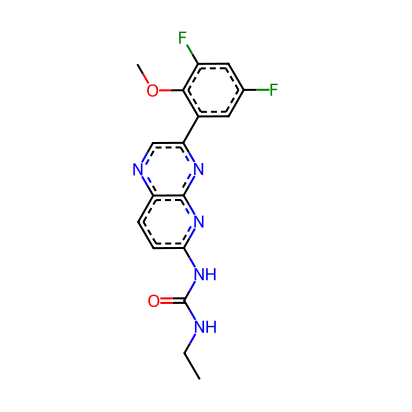 CCNC(=O)Nc1ccc2ncc(-c3cc(F)cc(F)c3OC)nc2n1